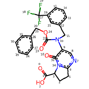 O=C(O)C1CCc2ncc(N(Cc3cccc(C(F)(F)F)c3)C(=O)OCc3ccccc3)c(=O)n21